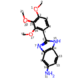 COc1ccc(-c2nc3cc(N)ccc3[nH]2)c(OC)c1OC